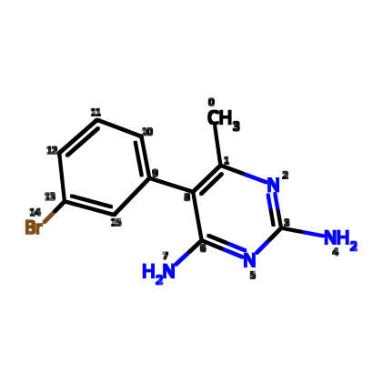 Cc1nc(N)nc(N)c1-c1cccc(Br)c1